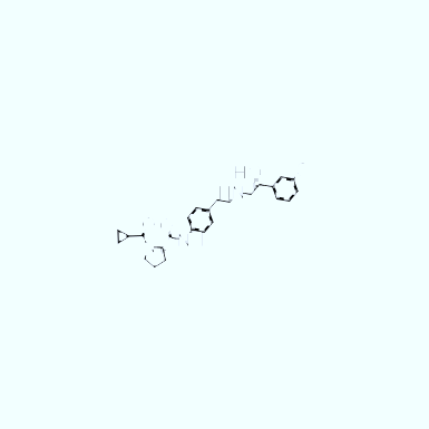 O=C(Nc1ccc(CCNC[C@H](O)c2cccc(Cl)c2)cc1)[C@@H]1CCCN1C(=O)C1CC1